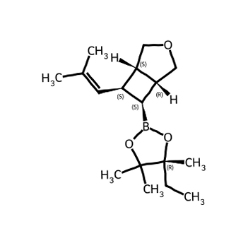 CC[C@@]1(C)OB([C@H]2[C@@H](C=C(C)C)[C@@H]3COC[C@@H]32)OC1(C)C